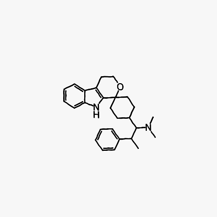 CC(c1ccccc1)C(C1CCC2(CC1)OCCc1c2[nH]c2ccccc12)N(C)C